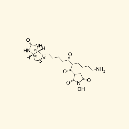 NCCCCC(C(=O)CCCC[C@@H]1SC[C@@H]2NC(=O)N[C@@H]21)C(=O)C1CC(=O)N(O)C1=O